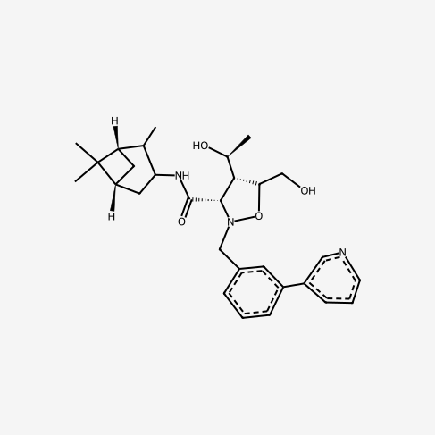 CC1C(NC(=O)[C@@H]2[C@H]([C@H](C)O)C(CO)ON2Cc2cccc(-c3cccnc3)c2)C[C@H]2C[C@@H]1C2(C)C